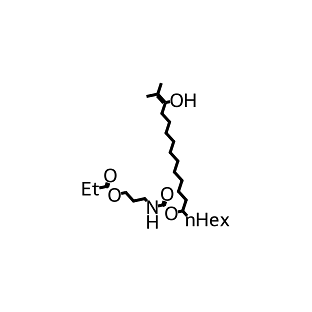 CCCCCCC(CCCCCCCCCCC(O)=C(C)C)OC(=O)NCCCOC(=O)CC